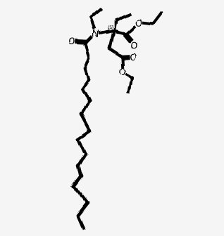 CCCCCCCCCCCCCCCC(=O)N(CC)[C@@](CC)(CC(=O)OCC)C(=O)OCC